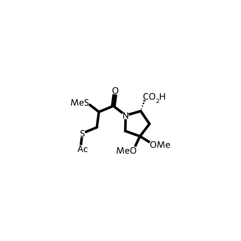 COC1(OC)C[C@@H](C(=O)O)N(C(=O)C(CSC(C)=O)SC)C1